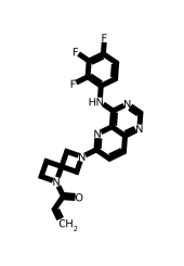 C=CC(=O)N1CCC12CN(c1ccc3ncnc(Nc4ccc(F)c(F)c4F)c3n1)C2